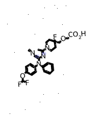 C=N/C=C(\N=C(/C)N1CCC(F)(COCC(=O)O)CC1)N(c1ccccc1)c1ccc(OC(F)F)cc1